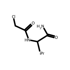 CC(C)C(NC(=O)CCl)C(N)=O